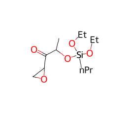 CCC[Si](OCC)(OCC)OC(C)C(=O)C1CO1